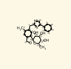 Cc1cc2c(cc1Cc1ncc(-c3ccccc3)s1)[C@]1(OC2)O[C@H](C)[C@@H](O)[C@H](O)[C@H]1O